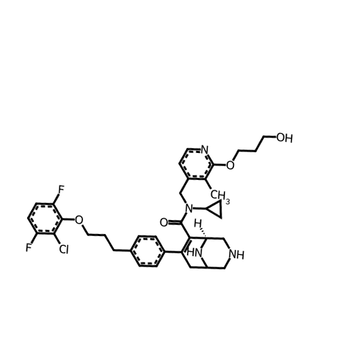 Cc1c(CN(C(=O)C2=C(c3ccc(CCCOc4c(F)ccc(F)c4Cl)cc3)CC3CNC[C@H]2N3)C2CC2)ccnc1OCCCO